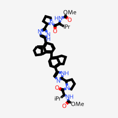 COC(=O)NC(C(=O)N1CCCC1c1ncc(-c2ccc(-c3ccc(-c4cnc(C5CCCN5C(=O)C(NC(=O)OC)C(C)C)[nH]4)c4c3C3CCC4C3)c3c2CCC3)[nH]1)C(C)C